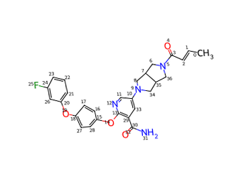 CC=CC(=O)N1CC2CN(c3cnc(Oc4ccc(Oc5cccc(F)c5)cc4)c(C(N)=O)c3)CC2C1